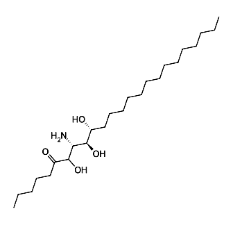 CCCCCCCCCCCCCC[C@@H](O)[C@@H](O)[C@@H](N)C(O)C(=O)CCCCC